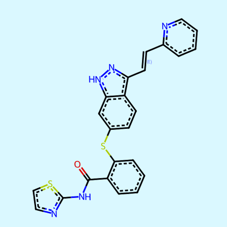 O=C(Nc1nccs1)c1ccccc1Sc1ccc2c(/C=C/c3ccccn3)n[nH]c2c1